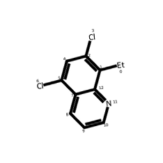 CCc1c(Cl)cc(Cl)c2cccnc12